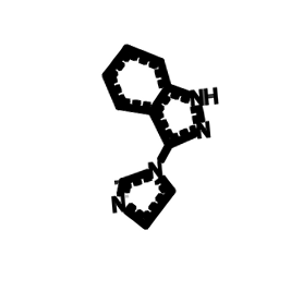 [c]1nccn1-c1n[nH]c2ccccc12